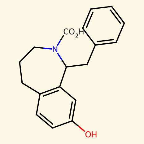 O=C(O)N1CCCc2ccc(O)cc2C1Cc1ccccc1